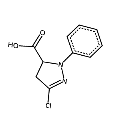 O=C(O)C1CC(Cl)=NN1c1ccccc1